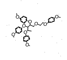 COc1ccc(OCCOCC(Oc2ccc(OC)cc2)C(Oc2ccc(OC)cc2)C(C)Oc2ccc(OC)cc2)cc1